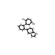 Fc1ccc(Cl)cc1-c1ncccc1-c1ccc2nccn2c1